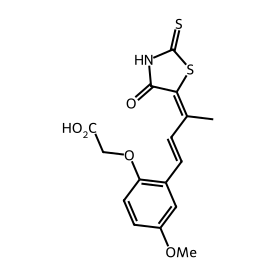 COc1ccc(OCC(=O)O)c(/C=C/C(C)=C2/SC(=S)NC2=O)c1